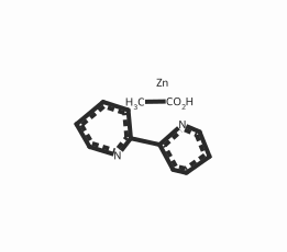 CC(=O)O.[Zn].c1ccc(-c2ccccn2)nc1